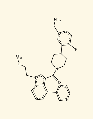 NCc1ccc(F)c(C2CCN(C(=O)c3cn(CCOC(F)(F)F)c4cccc(-c5cncnc5)c34)CC2)c1